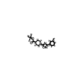 Cc1cccc(-c2noc(N3CCC(C(=O)OC(C)(C)C)CC3)n2)c1